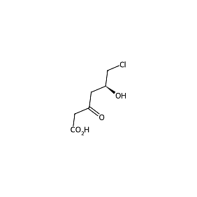 O=C(O)CC(=O)C[C@H](O)CCl